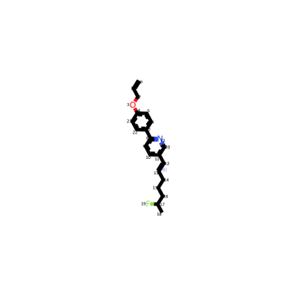 C=CCOc1ccc(-c2ccc(/C=C/CCCC(C)F)cn2)cc1